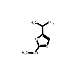 CNc1ncc(C(C)C)o1